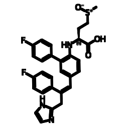 C[S+]([O-])CC[C@H](Nc1ccc(C=C(Cc2ncc[nH]2)c2ccc(F)cc2)cc1-c1ccc(F)cc1)C(=O)O